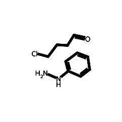 NNc1ccccc1.O=CCCCCl